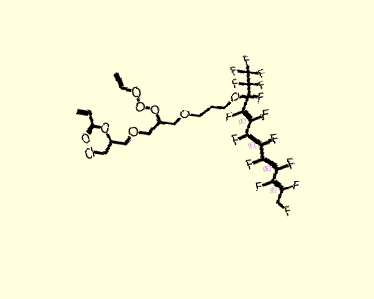 C=COOOC(COCCCOC(F)(/C(F)=C(F)/C(F)=C(F)/C(F)=C(F)/C(F)=C(\F)CF)C(F)(F)C(F)(F)F)COCC(CCl)OC(=O)C=C